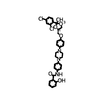 C[C@@]1(c2ccc(Cl)cc2Cl)OC[C@@H](COc2ccc(N3CCN(c4ccc(NC(=O)c5ccccc5O)cc4)CC3)cc2)O1